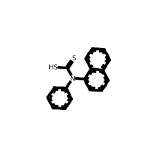 S=C(S)N(c1ccccc1)c1cccc2ccccc12